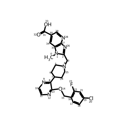 Cn1c(CN2CCC(c3nccnc3OCc3ccc(Cl)cc3F)CC2)nc2ncc(C(=O)O)cc21